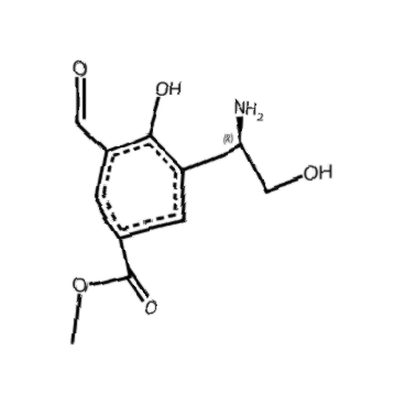 COC(=O)c1cc(C=O)c(O)c([C@@H](N)CO)c1